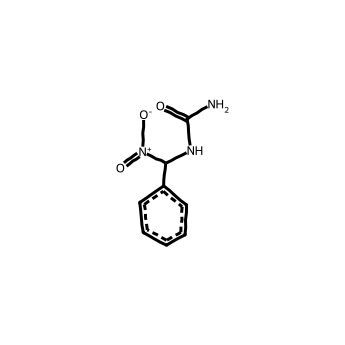 NC(=O)NC(c1ccccc1)[N+](=O)[O-]